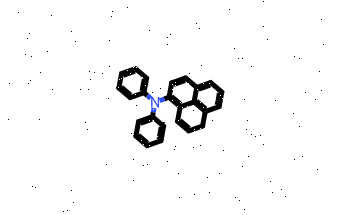 C1=Cc2c(N(c3ccccc3)c3ccccc3)ccc3cccc(c23)C1